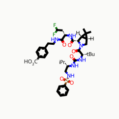 CC(C)[C@@H](CNS(=O)(=O)c1ccccc1)NC(=O)N[C@H](C(=O)N1C[C@H]2[C@@H]([C@H]1C(=O)N[C@@H](CC(F)F)C(=O)NCCc1ccc(C(=O)O)cc1)C2(C)C)C(C)(C)C